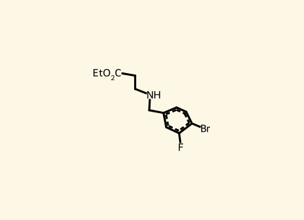 CCOC(=O)CCNCc1ccc(Br)c(F)c1